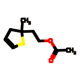 CC(=O)OCCC1(C)CC=CS1